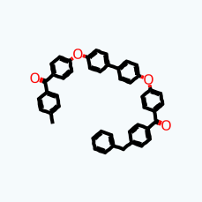 Cc1ccc(C(=O)c2ccc(Oc3ccc(-c4ccc(Oc5ccc(C(=O)c6ccc(Cc7ccccc7)cc6)cc5)cc4)cc3)cc2)cc1